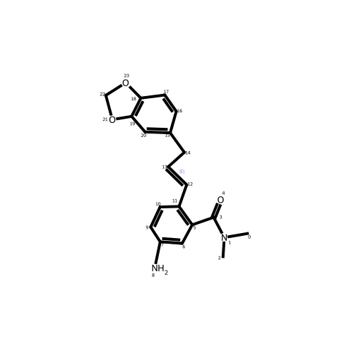 CN(C)C(=O)c1cc(N)ccc1/C=C/Cc1ccc2c(c1)OCO2